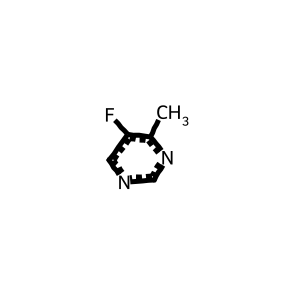 Cc1ncncc1F